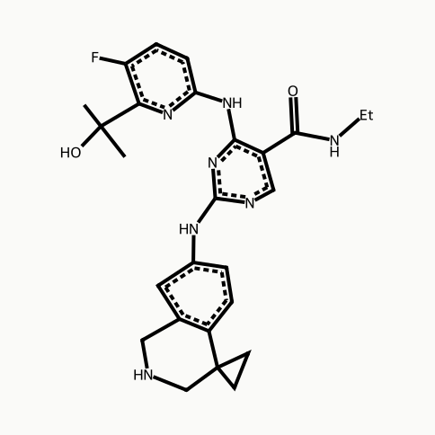 CCNC(=O)c1cnc(Nc2ccc3c(c2)CNCC32CC2)nc1Nc1ccc(F)c(C(C)(C)O)n1